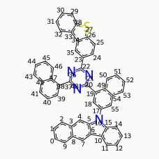 c1ccc2cc3c(cc2c1)c1ccccc1n3-c1cc(-c2nc(-c3ccc4sc5ccccc5c4c3)nc(-c3cccc4ccccc34)n2)c2ccccc2c1